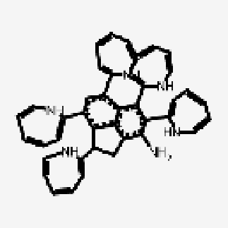 Nc1c(C2=CC=CC=CN2)c(C2=CC=CC=CN2)c2c(C3=CC=CC=CN3)cc(C3=CC=CC=CN3)c3c2c1CC3C1=CC=CC=CN1